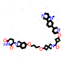 Cn1c2ccncc2c2ccc(-c3ccc(OC4CC(C(=O)N5CC6(CC(OCCCCOc7ccc8c(c7)CN(C7CCC(=O)NC7=O)C8)C6)C5)C4)nc3)cc21